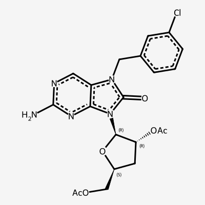 CC(=O)OC[C@@H]1C[C@@H](OC(C)=O)[C@H](n2c(=O)n(Cc3cccc(Cl)c3)c3cnc(N)nc32)O1